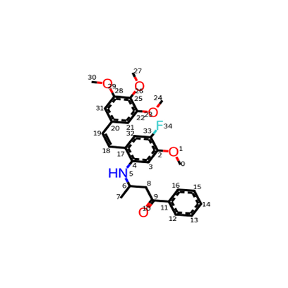 COc1cc(NC(C)CC(=O)c2ccccc2)c(/C=C\c2cc(OC)c(OC)c(OC)c2)cc1F